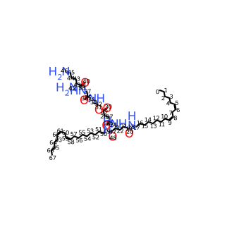 CCCCC/C=C\C/C=C\CCCCCCCCNC(=O)CCC(NC(=O)CCC(=O)OCCNC(=O)CNC(=O)C(N)CCCN)C(=O)NCCCCCCCC/C=C\C/C=C\CCCCC